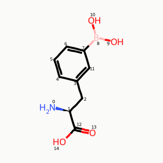 N[C@@H](Cc1cccc(B(O)O)c1)C(=O)O